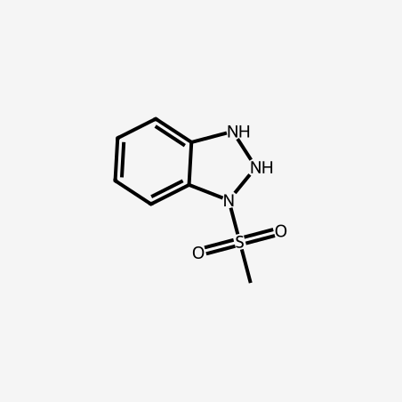 CS(=O)(=O)N1NNc2ccccc21